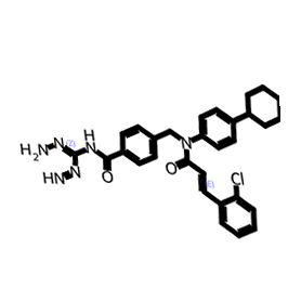 N=N/C(=N\N)NC(=O)c1ccc(CN(C(=O)/C=C/c2ccccc2Cl)c2ccc(C3CCCCC3)cc2)cc1